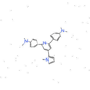 CN(C)c1ccc(-c2cc(-c3cccn3C)cc(-c3ccc(N(C)C)cc3)n2)cc1